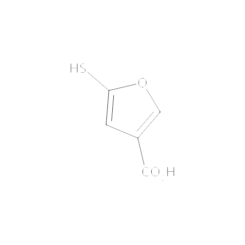 O=C(O)c1coc(S)c1